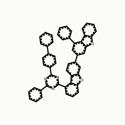 c1ccc(-c2ccc(-c3nc(-c4ccccc4)nc(-c4cccc5oc6cc(-c7cc(-c8ccccc8)c8c(c7)oc7ccccc78)ccc6c45)n3)cc2)cc1